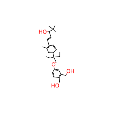 CCC(CC)(COc1ccc(CO)c(CO)c1)c1ccc(C=CC(O)C(C)(C)C)c(C)c1